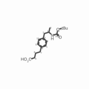 CC(Cc1ccc(CCCC(=O)O)cc1)NC(=O)OC(C)(C)C